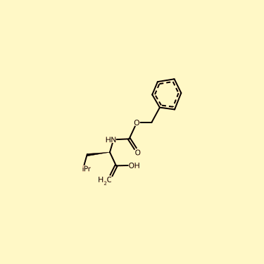 C=C(O)[C@@H](CC(C)C)NC(=O)OCc1ccccc1